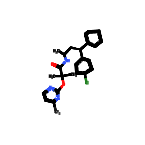 CC(C[C@@H](c1ccccc1)c1ccc(Cl)cc1)NC(=O)C(C)(C)Oc1nccc(C(F)(F)F)n1